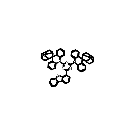 c1ccc2c(c1)N(c1nc(-c3cccc4c3sc3ccccc34)nc(N3c4ccccc4C4(c5ccccc53)C3CC5CC(C3)CC4C5)n1)c1ccccc1C21C2CC3CC(C2)CC1C3